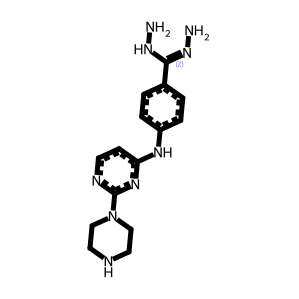 N/N=C(\NN)c1ccc(Nc2ccnc(N3CCNCC3)n2)cc1